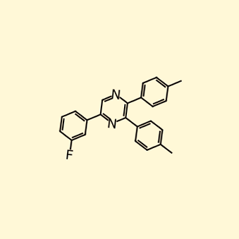 Cc1ccc(-c2ncc(-c3cccc(F)c3)nc2-c2ccc(C)cc2)cc1